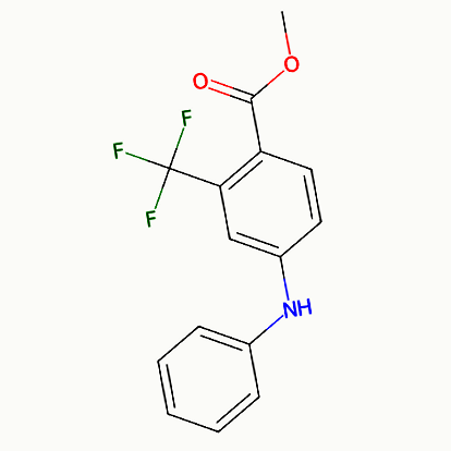 COC(=O)c1ccc(Nc2ccccc2)cc1C(F)(F)F